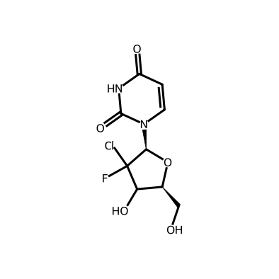 O=c1ccn([C@H]2O[C@@H](CO)C(O)C2(F)Cl)c(=O)[nH]1